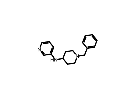 c1ccc(CN2CCC(Nc3cccnc3)CC2)cc1